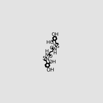 O=C(CCC(=O)Nc1nc(-c2ccc(O)cc2O)cs1)Nc1nc(-c2ccc(O)cc2O)cs1